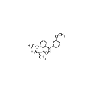 COc1cccc(Nc2cccc(OC)c2C(=O)N(C)C)c1